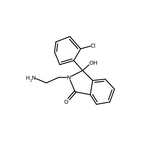 NCCN1C(=O)c2ccccc2C1(O)c1ccccc1Cl